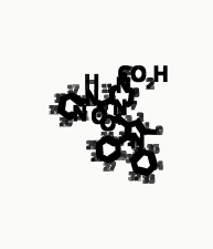 Cc1cc(C(=O)N2CCN(C(=O)O)CC2C(=O)Nc2ccccn2)c(-c2ccccc2)n1-c1ccccc1